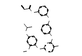 C=CC(=O)Nc1cccc(Oc2cccc(Oc3nc(Nc4ccc(NC(C)C)cc4OC)ncc3Cl)c2)c1